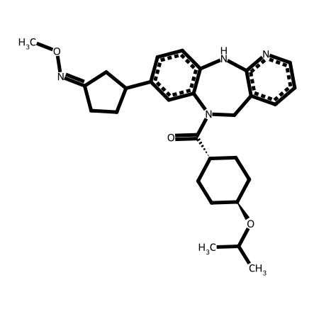 CO/N=C1/CCC(c2ccc3c(c2)N(C(=O)[C@H]2CC[C@H](OC(C)C)CC2)Cc2cccnc2N3)C1